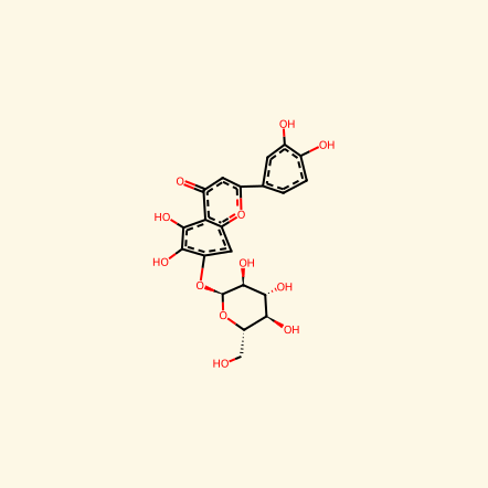 O=c1cc(-c2ccc(O)c(O)c2)oc2cc(O[C@@H]3O[C@@H](CO)[C@H](O)[C@@H](O)[C@@H]3O)c(O)c(O)c12